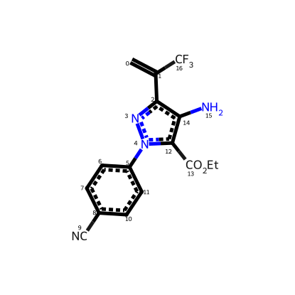 C=C(c1nn(-c2ccc(C#N)cc2)c(C(=O)OCC)c1N)C(F)(F)F